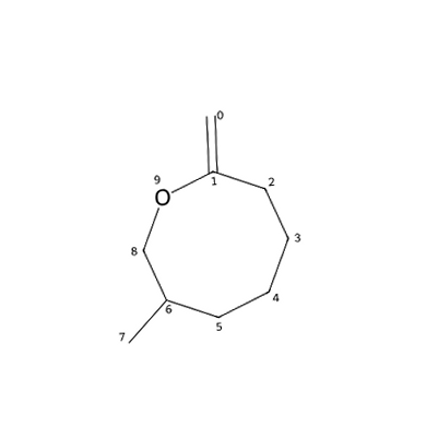 C=C1CCCCC(C)CO1